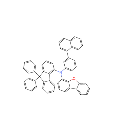 c1ccc(C2(c3ccccc3)c3ccccc3-c3c(N(c4cccc(-c5cccc6ccccc56)c4)c4cccc5c4oc4ccccc45)cccc32)cc1